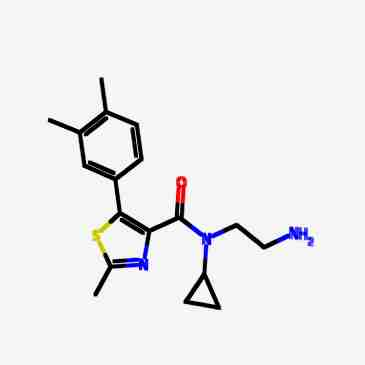 Cc1nc(C(=O)N(CCN)C2CC2)c(-c2ccc(C)c(C)c2)s1